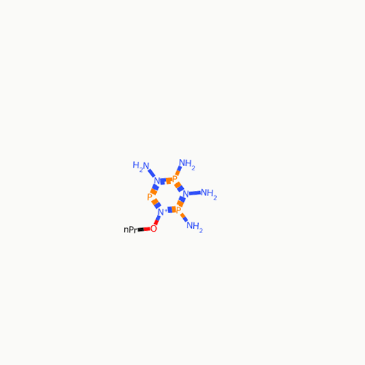 CCCO[n+]1pn(N)p(N)n(N)p1N